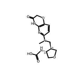 CN(C[C@H]1COC[C@@H]1NC(=O)O)c1ccc2c(n1)NC(=O)CO2